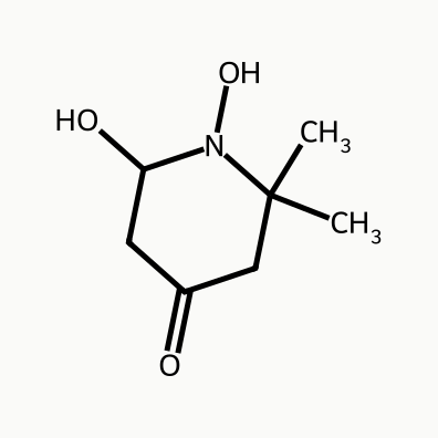 CC1(C)CC(=O)CC(O)N1O